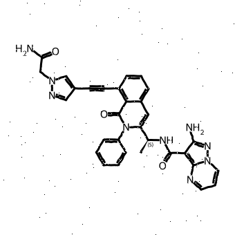 C[C@H](NC(=O)c1c(N)nn2cccnc12)c1cc2cccc(C#Cc3cnn(CC(N)=O)c3)c2c(=O)n1-c1ccccc1